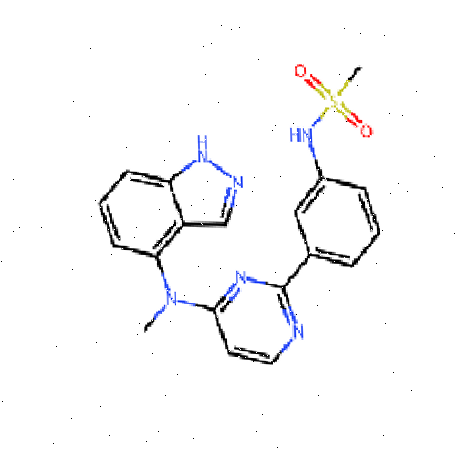 CN(c1ccnc(-c2cccc(NS(C)(=O)=O)c2)n1)c1cccc2[nH]ncc12